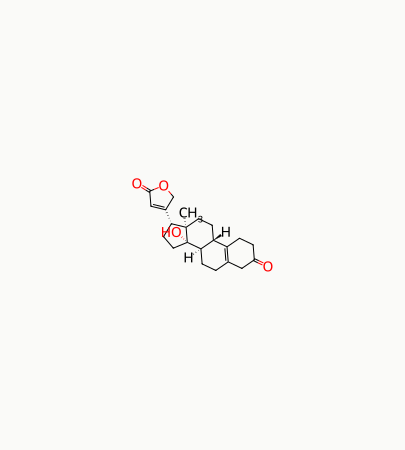 C[C@]12CC[C@@H]3C4=C(CC[C@H]3[C@@]1(O)CC[C@@H]2C1=CC(=O)OC1)CC(=O)CC4